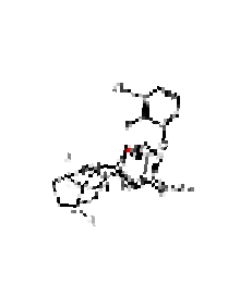 COc1cc(N2C[C@H]3CC[C@@H](C2)[C@@H]3Nc2nc(Oc3cccc(Cl)c3F)n(C(C)C)n2)ccn1